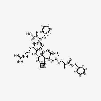 N=C(N)NCCCC(NC(=O)C(Cc1ccccc1)NC(=O)O)C(=O)NC(CC12CC(C1)C2)C(=O)NC(CCCCNC(=O)OCc1ccccc1)C(N)=O